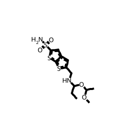 CCC(NCc1cc2cc(S(N)(=O)=O)sc2s1)OC(C)OC